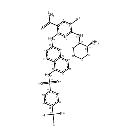 NC(=O)c1cc(F)c(N[C@@H]2CCCC[C@@H]2N)nc1Nc1cnc2c(NS(=O)(=O)c3ccc(C(F)(F)F)cc3)cccc2c1